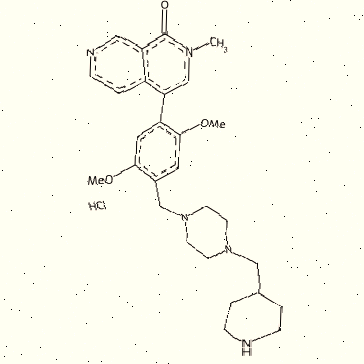 COc1cc(-c2cn(C)c(=O)c3cnccc23)c(OC)cc1CN1CCN(CC2CCNCC2)CC1.Cl